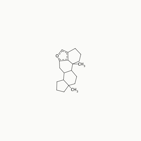 CC12CCCC1C1Cc3occ4c3C(C)(CCC4)C1CC2